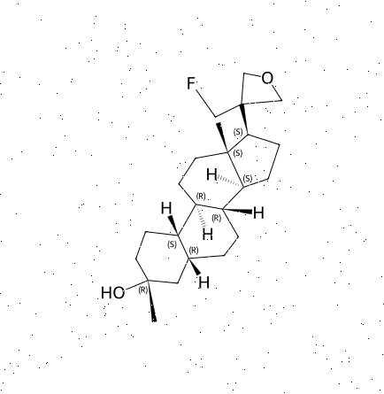 C[C@@]1(O)CC[C@H]2[C@H](CC[C@@H]3[C@@H]2CC[C@]2(C)[C@@H](C4(CF)COC4)CC[C@@H]32)C1